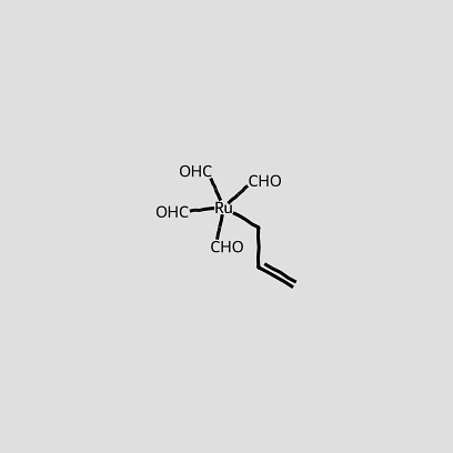 C=C[CH2][Ru]([CH]=O)([CH]=O)([CH]=O)[CH]=O